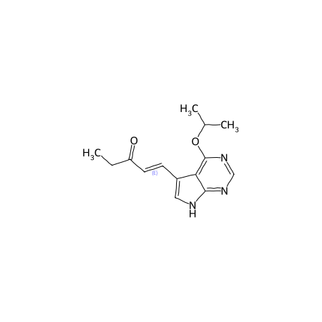 CCC(=O)/C=C/c1c[nH]c2ncnc(OC(C)C)c12